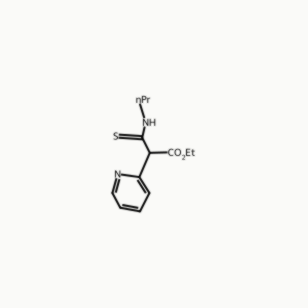 CCCNC(=S)C(C(=O)OCC)c1ccccn1